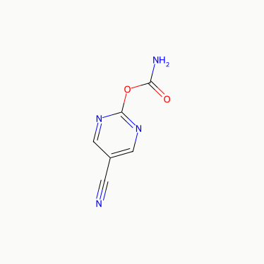 N#Cc1cnc(OC(N)=O)nc1